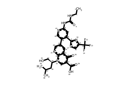 CCNC(=O)Nc1cc(-c2nc(C(F)(F)F)cs2)c(-c2cnc3c(c2)c(=O)c(C(=O)O)cn3[C@H](CO)CC(C)C)cn1